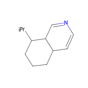 CC(C)C1CCCC2C=CN=CC21